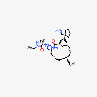 C#C/C1=C\C#CCC[C@@H](CN[C@@H](CCC)C(=O)NCC(C)C)NC(=O)c2cc(cc(C3(C=N)CCCC3)c2)CCCC1